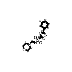 O=S(=O)(/N=C/N1CCOCC1)c1nc(-c2ccccc2)ns1